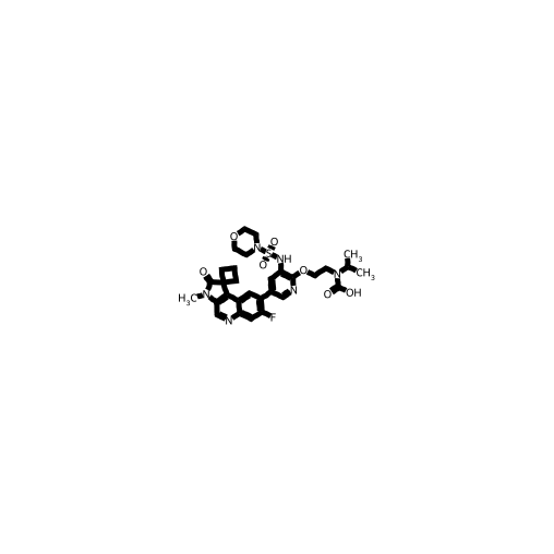 CC(C)N(CCOc1ncc(-c2cc3c4c(cnc3cc2F)N(C)C(=O)C42CCC2)cc1NS(=O)(=O)N1CCOCC1)C(=O)O